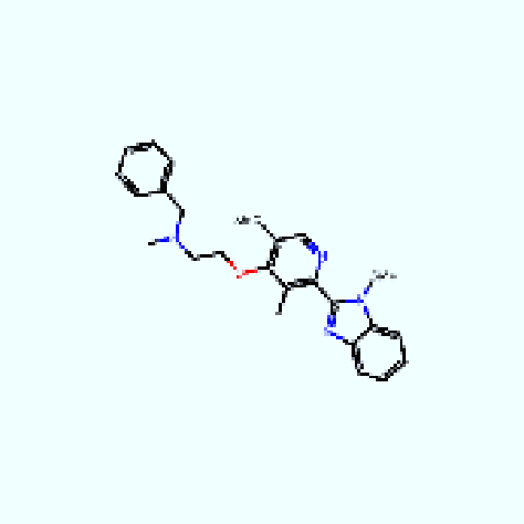 COc1cnc(-c2nc3ccccc3n2SC)c(C)c1OCCN(C)Cc1ccccc1